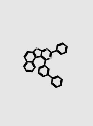 c1ccc(-c2cccc(-c3nc(-c4ccccc4)nc4sc5ccc6ccccc6c5c34)c2)cc1